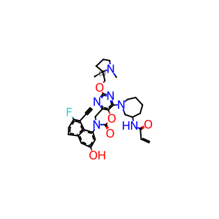 C#Cc1c(F)ccc2cc(O)cc(N3Cc4nc(OC[C@]5(C)CCCN5C)nc(N5CCCCC(NC(=O)C=C)C5)c4OC3=O)c12